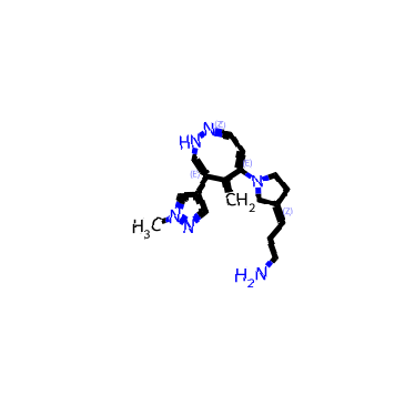 C=C1/C(c2cnn(C)c2)=C\N/N=C\C=C/1N1CC/C(=C/CCN)C1